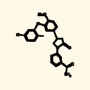 COc1ccc(C2CC(=O)N(c3cccc(C(N)=O)c3)C2)cc1Oc1cc(Cl)ccc1C